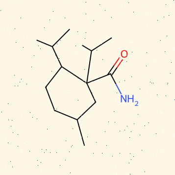 CC1CCC(C(C)C)C(C(N)=O)(C(C)C)C1